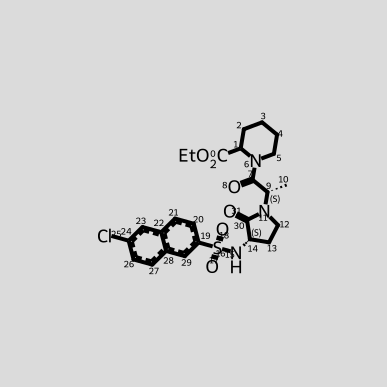 CCOC(=O)C1CCCCN1C(=O)[C@H](C)N1CC[C@H](NS(=O)(=O)c2ccc3cc(Cl)ccc3c2)C1=O